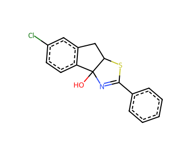 OC12N=C(c3ccccc3)SC1Cc1cc(Cl)ccc12